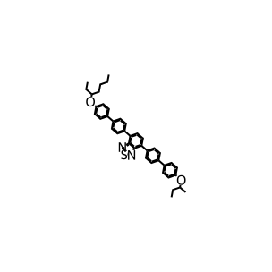 CCCCC(CC)Oc1ccc(-c2ccc(-c3ccc(-c4ccc(-c5ccc(OC(C)CC)cc5)cc4)c4nsnc34)cc2)cc1